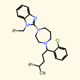 CC(C)Cn1c(N2CCCN(C(CCC(C#N)C(C)C)c3ccccc3Cl)CC2)nc2ccccc21